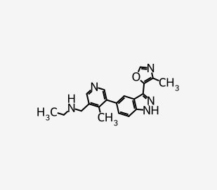 CCNCc1cncc(-c2ccc3[nH]nc(-c4ocnc4C)c3c2)c1C